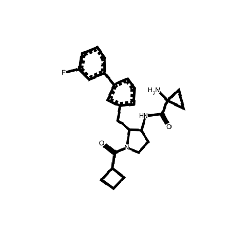 NC1(C(=O)NC2CCN(C(=O)C3CCC3)C2Cc2cccc(-c3cccc(F)c3)c2)CC1